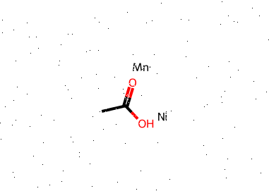 CC(=O)O.[Mn].[Ni]